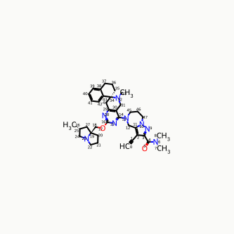 C#Cc1c(C(=O)N(C)C)nn2c1CN(c1nc(OC[C@@]34CCCN3C[C@H](C)C4)nc3c1CN(C)[C@@]1(CCCc4ccccc41)C3)CCC2